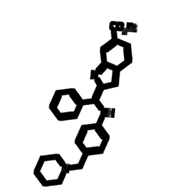 CCOC(=O)c1ccc2c(c1)=NC(=C(Nc1ccc(CN3CCCCC3)cc1)c1ccccc1)C=2